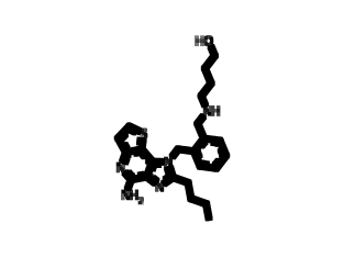 CCCCc1nc2c(N)nc3ccsc3c2n1Cc1ccccc1CNCCCCO